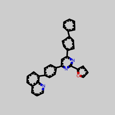 c1ccc(-c2ccc(-c3cc(-c4ccc(-c5cccc6cccnc56)cc4)nc(-c4ccco4)n3)cc2)cc1